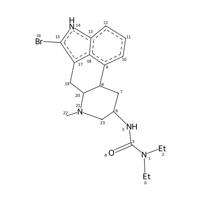 CCN(CC)C(=O)NC1CC2c3cccc4[nH]c(Br)c(c34)CC2N(C)C1